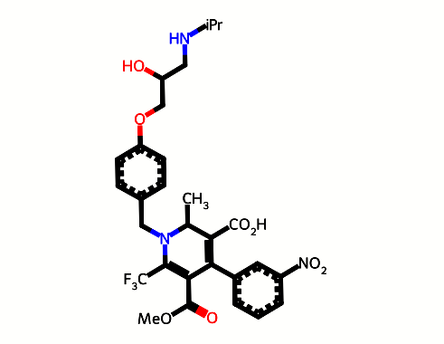 COC(=O)C1=C(C(F)(F)F)N(Cc2ccc(OCC(O)CNC(C)C)cc2)C(C)C(C(=O)O)=C1c1cccc([N+](=O)[O-])c1